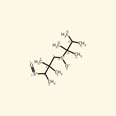 CC([S+]=O)C(C)(C)C[S+]([O-])C(C)(C)C(C)C